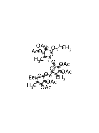 C=CCOC1O[C@H](CO[C@@H]2O[C@H](CO[C@@H]3O[C@H](CC)[C@@H](C)[C@H](OC(C)=O)[C@H]3OC(C)=O)[C@@H](C)[C@H](OC(C)=O)[C@H]2OC(C)=O)[C@@H](C)[C@H](OC(C)=O)[C@H]1OC(C)=O